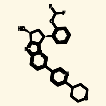 O[C@@H]1C[C@H](c2ccccc2OC(F)F)c2c1nc1ccc(-c3ccc(C4CCOCC4)nc3)cn21